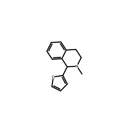 CN1CCc2ccccc2C1c1ccco1